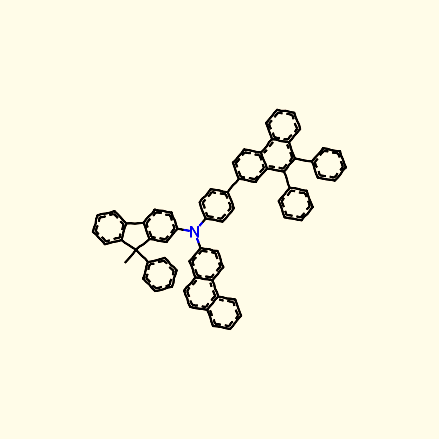 CC1(c2ccccc2)c2ccccc2-c2ccc(N(c3ccc(-c4ccc5c(c4)c(-c4ccccc4)c(-c4ccccc4)c4ccccc45)cc3)c3ccc4c(ccc5ccccc54)c3)cc21